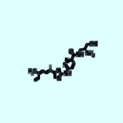 C=C/C(=C\C=C(/C)c1cnc(Nc2ccc(C(=O)NC[C@@H](N)CO)nn2)o1)C(F)(F)F